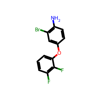 Nc1ccc(Oc2cccc(F)c2F)cc1Br